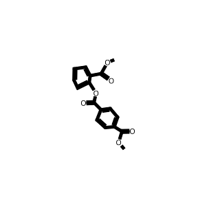 COC(=O)c1ccc(C(=O)Oc2ccccc2C(=O)OC)cc1